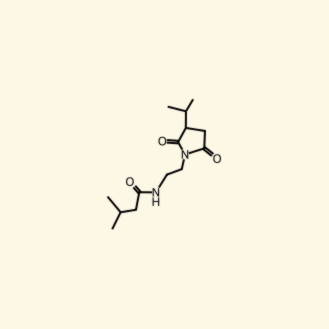 CC(C)CC(=O)NCCN1C(=O)CC(C(C)C)C1=O